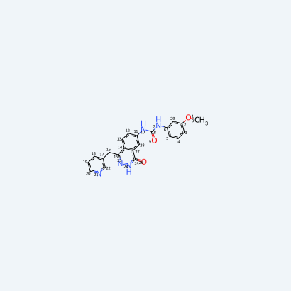 COc1cccc(NC(=O)Nc2ccc3c(Cc4cccnc4)n[nH]c(=O)c3c2)c1